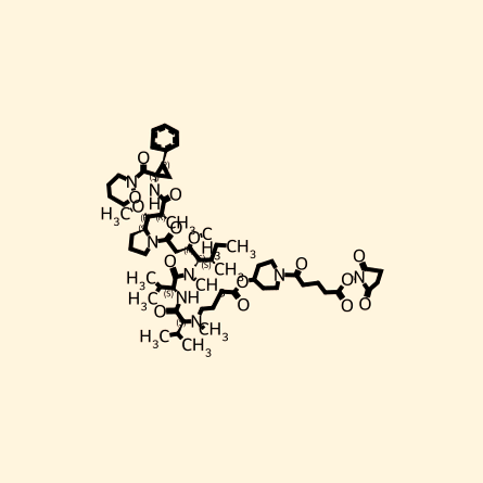 CC[C@H](C)[C@@H]([C@@H](CC(=O)N1CCC[C@H]1[C@H](OC)[C@@H](C)C(=O)N[C@@]1(C(=O)N2CCCCO2)C[C@@H]1c1ccccc1)OC)N(C)C(=O)[C@@H](NC(=O)[C@H](C(C)C)N(C)CCCC(=O)OC1CCN(C(=O)CCCC(=O)ON2C(=O)CCC2=O)CC1)C(C)C